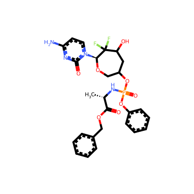 C[C@H](NP(=O)(Oc1ccccc1)OC1CO[C@@H](n2ccc(N)nc2=O)C(F)(F)C(O)C1)C(=O)OCc1ccccc1